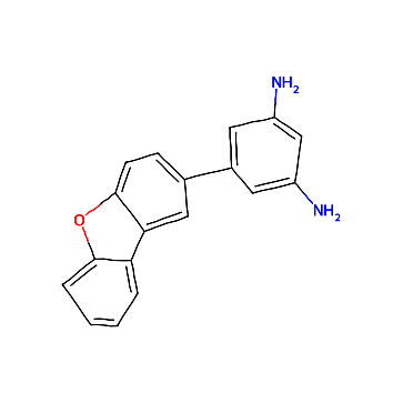 Nc1cc(N)cc(-c2ccc3oc4ccccc4c3c2)c1